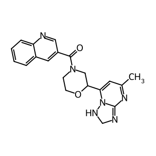 CC1=NC2=NCNN2C(C2CN(C(=O)c3cnc4ccccc4c3)CCO2)=C1